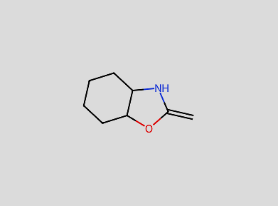 C=C1NC2CCCCC2O1